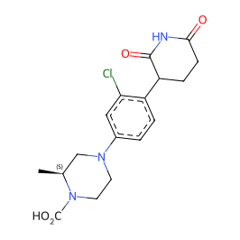 C[C@H]1CN(c2ccc(C3CCC(=O)NC3=O)c(Cl)c2)CCN1C(=O)O